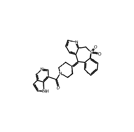 O=C(c1cncc2cc[nH]c12)N1CCC(=C2c3ccccc3S(=O)(=O)Cc3ncccc32)CC1